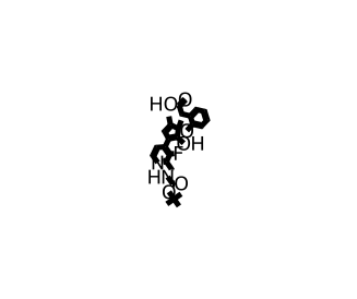 CC1=CC(c2ccnc(CNC(=O)OC(C)(C)C)c2F)=C(O)C1(C)Oc1ccccc1CC(=O)O